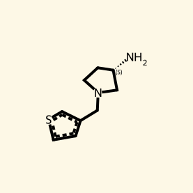 N[C@H]1CCN(Cc2ccsc2)C1